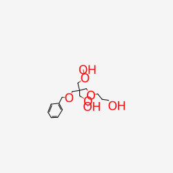 OCCCOCC(COO)(COO)COCc1ccccc1